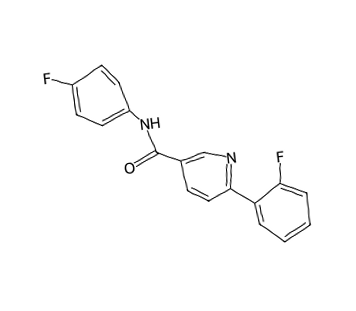 O=C(Nc1ccc(F)cc1)c1ccc(-c2ccccc2F)nc1